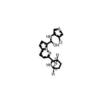 OC(Nc1cscc1Cl)c1ccc2ccc(N3C[C@@H]4CC[C@H]3CN4)nn12